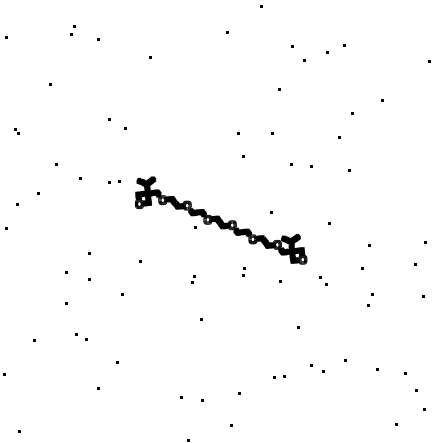 CC(C)C1(COCCOCCOCCOCCOCCOCC2(C(C)C)COC2)COC1